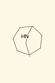 C1C[C]2CCC(C1)NC2